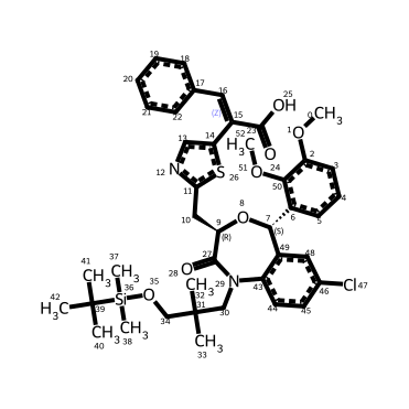 COc1cccc([C@H]2O[C@H](Cc3ncc(/C(=C\c4ccccc4)C(=O)O)s3)C(=O)N(CC(C)(C)CO[Si](C)(C)C(C)(C)C)c3ccc(Cl)cc32)c1OC